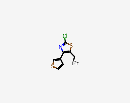 CC(C)Cc1sc(Cl)nc1-c1ccsc1